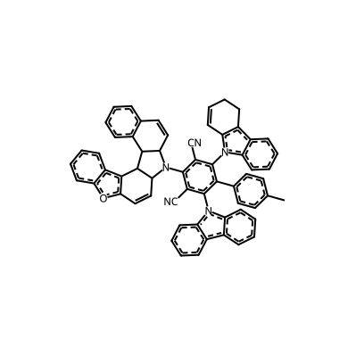 Cc1ccc(-c2c(-n3c4c(c5ccccc53)CCC=C4)c(C#N)c(N3C4C=Cc5ccccc5C4C4c5c(oc6ccccc56)C=CC43)c(C#N)c2-n2c3ccccc3c3ccccc32)cc1